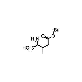 CC(CC(=O)OC(C)(C)C)C(N)S(=O)(=O)O